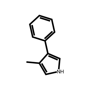 Cc1c[nH]cc1-c1ccccc1